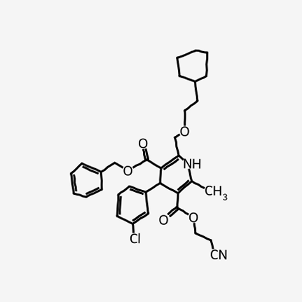 CC1=C(C(=O)OCCC#N)C(c2cccc(Cl)c2)C(C(=O)OCc2ccccc2)=C(COCCC2CCCCC2)N1